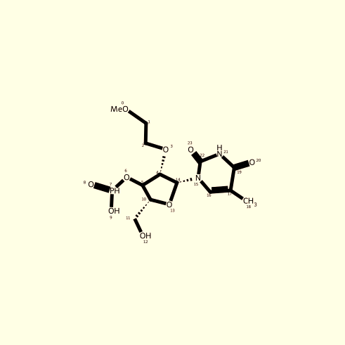 COCCO[C@H]1C(O[PH](=O)O)[C@@H](CO)O[C@H]1n1cc(C)c(=O)[nH]c1=O